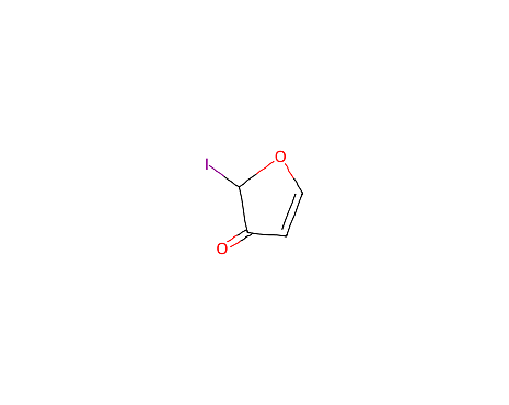 O=C1C=COC1I